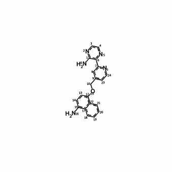 Nc1nccnc1-c1cc(COc2ccc(N)c3ccccc23)ccn1